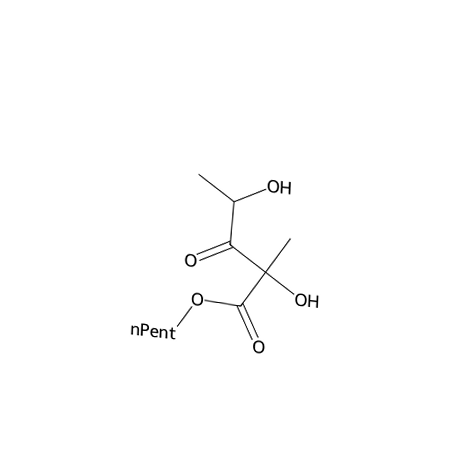 CCCCCOC(=O)C(C)(O)C(=O)C(C)O